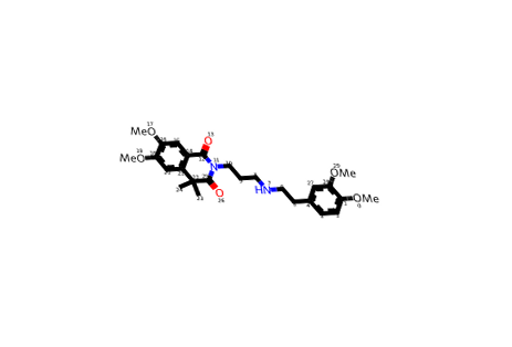 COc1ccc(CCNCCCN2C(=O)c3cc(OC)c(OC)cc3C(C)(C)C2=O)cc1OC